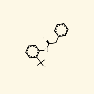 O=C(Cc1ccccc1)Nc1ccccc1C(F)(F)F